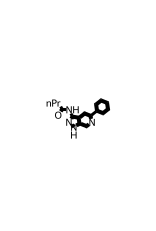 CCCC(=O)Nc1n[nH]c2cnc(-c3ccccc3)cc12